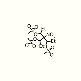 CCC(OS(C)(=O)=O)C(C(CC)OS(C)(=O)=O)(C(CC)OS(C)(=O)=O)[N+](=O)[O-]